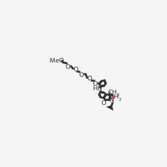 COCCOCCOCCOCCOCCOc1ccccc1Nc1ccc2c(c1)[C@]1(C)CCN(CC3CC3)C(C2=O)[C@@H]1C